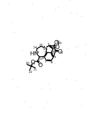 COc1c2n3c4c(ccc(c14)C(=O)C2=O)C(C(=O)OC(C)(C)C)NCC3